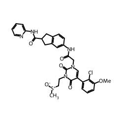 COc1cccc(-c2cn(CC(=O)Nc3ccc4c(c3)CC(C(=O)Nc3ccccn3)C4)c(=O)n(CC[S+](C)[O-])c2=O)c1Cl